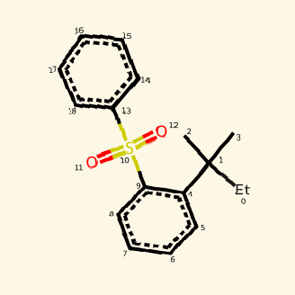 CCC(C)(C)c1ccccc1S(=O)(=O)c1ccccc1